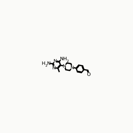 Cc1nc(N)nc(N)c1N1CCN(c2ccc(C=O)cc2)CC1